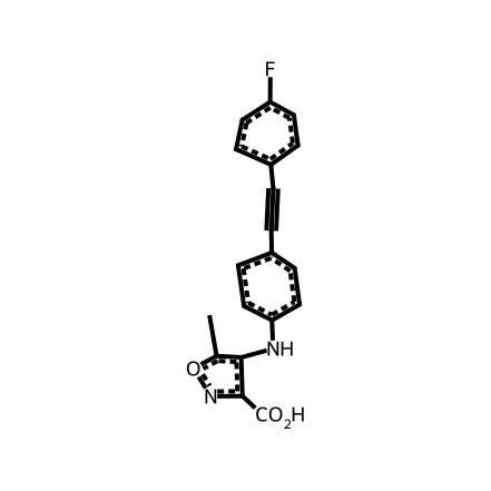 Cc1onc(C(=O)O)c1Nc1ccc(C#Cc2ccc(F)cc2)cc1